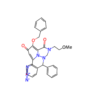 COCCN1CN(C(c2ccccc2)c2ccccc2)n2c(CN=[N+]=[N-])cc(=O)c(OCc3ccccc3)c2C1=O